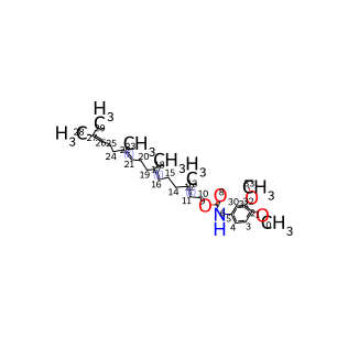 COc1ccc(NC(=O)OC/C=C(\C)CC/C=C(\C)CC/C=C(\C)CCC=C(C)C)cc1OC